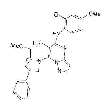 COC[C@@H]1C=C(c2ccccc2)CN1c1c(C)c(Nc2ccc(OC)cc2Cl)nc2ccnn12